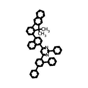 CC1(C)c2cc3ccccc3cc2-c2cccc(-c3ccc(-c4cc(-c5ccc(-c6ccccc6)cc5-c5ccccc5)nc(-c5ccccc5)n4)c4ccccc34)c21